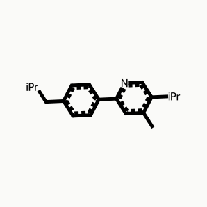 Cc1cc(-c2ccc(CC(C)C)cc2)ncc1C(C)C